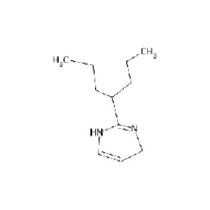 CCCC(CCC)C1=NCC=CN1